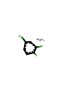 Fc1ccc(Br)cc1F.[MgH2]